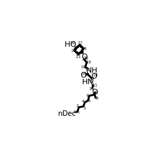 CCCCCCCCCCCCCCCCC(C)OCCNC(=O)C(=O)NCCCOc1ccc(O)cc1